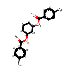 CC(=O)c1ccc(C(=O)OC2CCCC(OC(=O)c3ccc(C(C)=O)cc3)C2)cc1